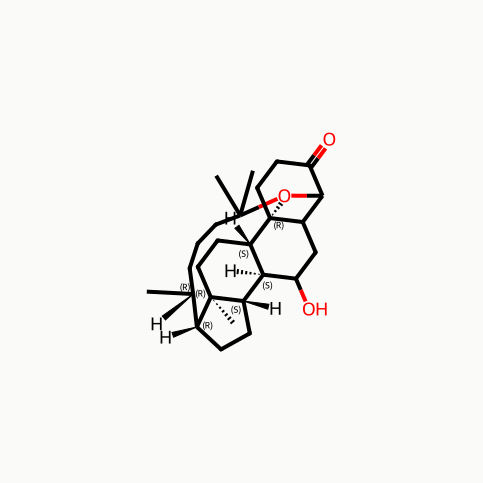 C[C@@H]1CCCC(C)(C)OC2C(=O)CC[C@@]3(C)C2CC(O)[C@H]2[C@@H]4CC[C@H]1[C@@]4(C)CC[C@@H]23